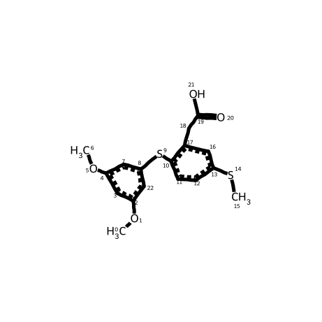 COc1cc(OC)cc(Sc2ccc(SC)cc2CC(=O)O)c1